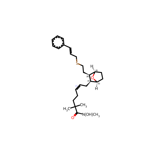 CN(O)C(=O)C(C)(C)CC/C=C\C[C@H]1[C@@H](CCSCC=Cc2ccccc2)[C@H]2CC[C@@H]1O2